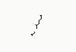 NC(CCCC(=O)O)COCC(=O)O